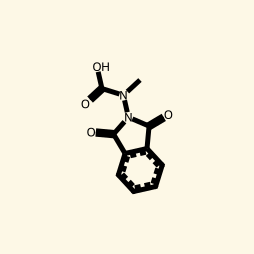 CN(C(=O)O)N1C(=O)c2ccccc2C1=O